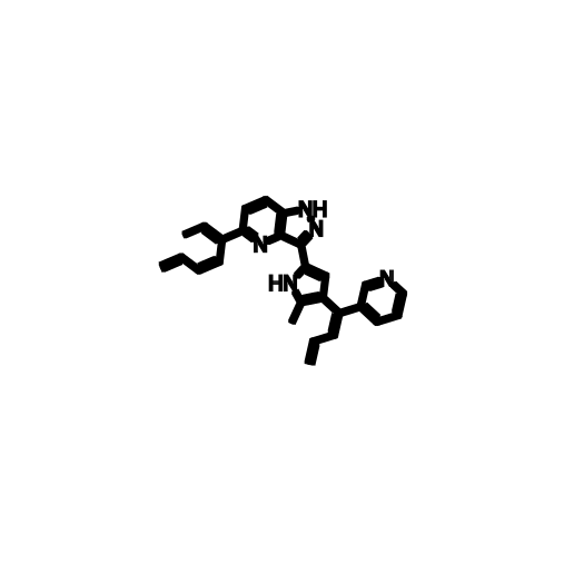 C=C/C=C\C(=C/C)c1ccc2[nH]nc(-c3cc(/C(=C\C=C)c4cccnc4)c(C)[nH]3)c2n1